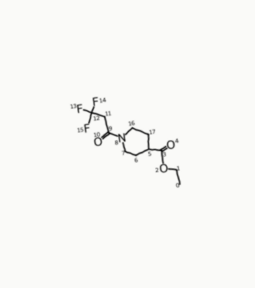 CCOC(=O)C1CCN(C(=O)CC(F)(F)F)CC1